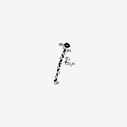 C=CC(=O)O.CC(C)(C)c1ccccc1OC(O)COCCOCCOCCOCCOCCOCCO